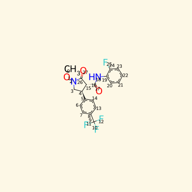 CON1C[C@H](c2ccc(C(F)(F)F)cc2)[C@@H](C(=O)Nc2ccccc2F)C1=O